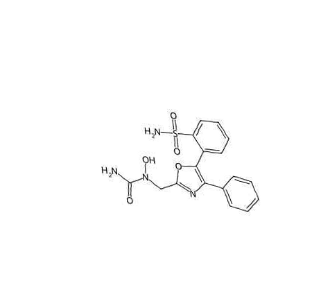 NC(=O)N(O)Cc1nc(-c2ccccc2)c(-c2ccccc2S(N)(=O)=O)o1